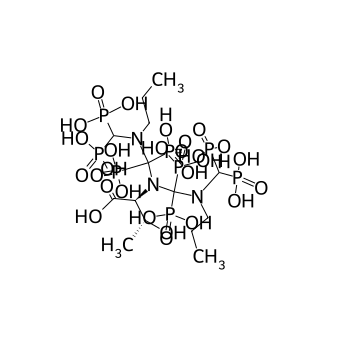 CCCN(C(P(=O)(O)O)P(=O)(O)O)C(N([C@H](C(=O)O)[C@@H](C)O)C(N(CCC)C(P(=O)(O)O)P(=O)(O)O)(P(=O)(O)O)P(=O)(O)O)(P(=O)(O)O)P(=O)(O)O